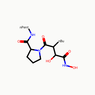 CCCCCNC(=O)C1CCCN1C(=O)C(CCCC)C(O)C(=O)NO